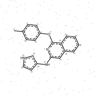 Cc1ccc(Oc2nc(Nc3cc[nH]n3)cc3ccccc23)cc1